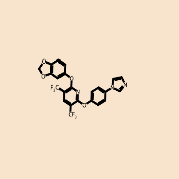 FC(F)(F)c1cc(C(F)(F)F)c(Oc2ccc3c(c2)OCO3)nc1Oc1ccc(-n2ccnc2)cc1